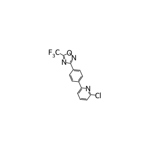 FC(F)(F)c1nc(-c2ccc(-c3cccc(Cl)n3)cc2)no1